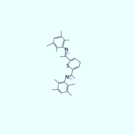 C/C(=N\c1c(C)c(C)cc(C)c1C)C1=CCC=C(/C(C)=N/c2c(C)c(C)cc(C)c2C)S1